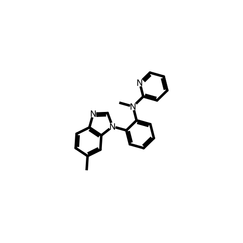 Cc1ccc2ncn(-c3ccccc3N(C)c3ccccn3)c2c1